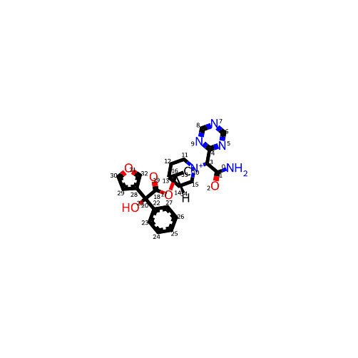 NC(=O)C(c1ncncn1)[N+]12CCC(CC1)[C@@H](OC(=O)C(O)(c1ccccc1)c1ccoc1)C2